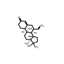 C=CC1CC2=CC(=O)CC[C@]2(C)[C@@H]2CC[C@@]3(C)[C@@H](CCC3(C)O)[C@H]12